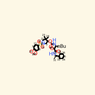 CCCC[C@H](NC(=O)O[C@@H]1CN(S(=O)(=O)c2ccc3c(c2)OCO3)CC1(C)C)C(=O)C(=O)N[C@H](C)c1ccccc1